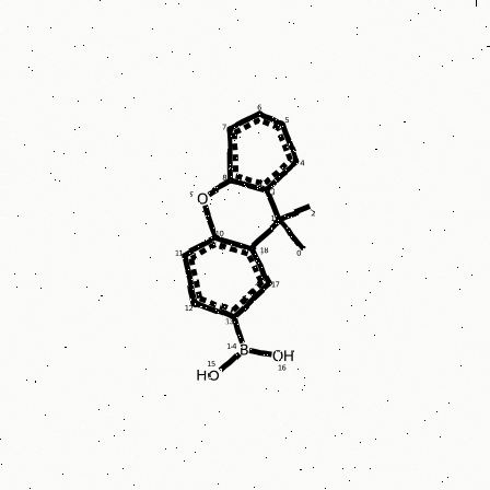 CC1(C)c2ccccc2Oc2ccc(B(O)O)cc21